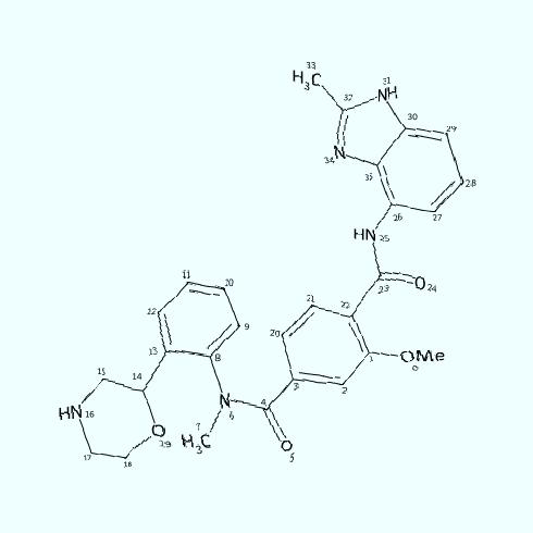 COc1cc(C(=O)N(C)c2ccccc2C2CNCCO2)ccc1C(=O)Nc1cccc2[nH]c(C)nc12